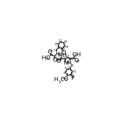 COc1ccc(Cn2nc(C(=O)N[C@H](Cc3ccccc3Cl)[C@@H](O)C(=O)O)cc2C(=O)O)cc1F